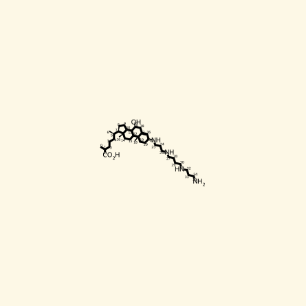 CC(CCC[C@@H](C)[C@H]1CCC2C3C(CC[C@@]21C)[C@@]1(C)CC[C@H](NCCCNCCCCNCCCN)C=C1C[C@H]3O)C(=O)O